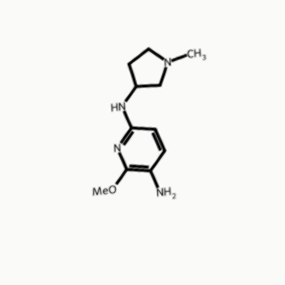 COc1nc(NC2CCN(C)C2)ccc1N